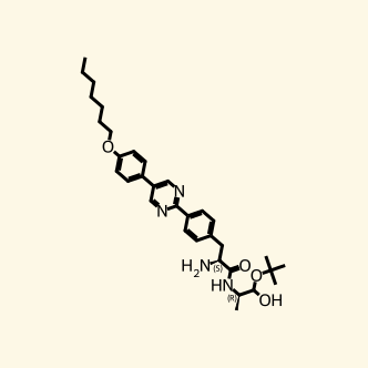 CCCCCCCOc1ccc(-c2cnc(-c3ccc(C[C@H](N)C(=O)N[C@H](C)C(O)OC(C)(C)C)cc3)nc2)cc1